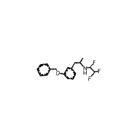 CC(Cc1cccc(OCc2ccccc2)c1)NC(F)C(F)F